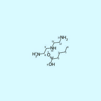 CCCCC(=O)O.NCCNCCN